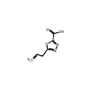 C=CCc1nnc(C(=O)O)o1